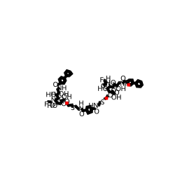 O=C(CF)N[C@H]1[C@H]([C@H](O)[C@H](O)CNC(=O)c2ccc(-c3ccccc3)cc2)O[C@@](OCCCSCCNC(=O)c2ccc(C(=O)NCCSCCCO[C@]3(C(=O)O)C[C@H](O)[C@@H](NC(=O)CF)[C@H]([C@H](O)[C@H](O)CNC(=O)c4ccc(-c5ccccc5)cc4)O3)cc2)(C(=O)O)C[C@@H]1O